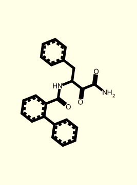 NC(=O)C(=O)C(Cc1ccccc1)NC(=O)c1ccccc1-c1ccccc1